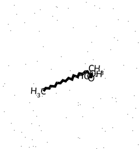 CCCCCCCCCCCCCCCCC(C)[N+]([O-])(O)O